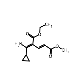 CCOC(=O)C(/C=C/C(=O)OC)=C(\N)C1CC1